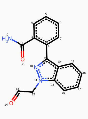 NC(=O)c1ccccc1-c1nn(CC=O)c2ccccc12